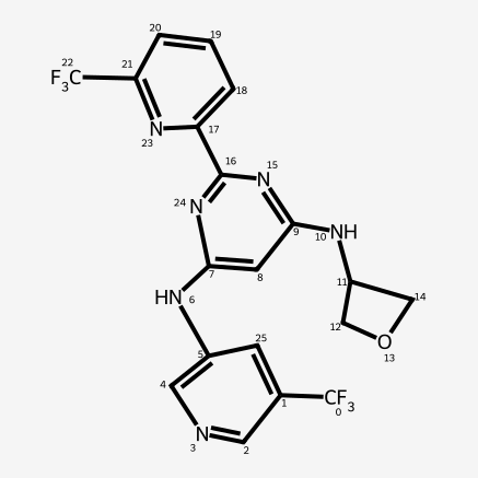 FC(F)(F)c1cncc(Nc2cc(NC3COC3)nc(-c3cccc(C(F)(F)F)n3)n2)c1